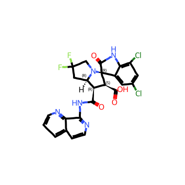 O=C(Nc1nccc2cccnc12)[C@H]1[C@H]2CC(F)(F)CN2[C@]2(C(=O)Nc3c(Cl)cc(Cl)cc32)[C@H]1C(=O)O